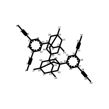 CC#Cc1cc(C#CC)cc(C23CC4(C)CC(C)(C2)CC(C25CC6(C)CC(C)(CC(c7cc(C#CC)cc(C#CC)c7)(C6)C2)C5)(C4)C3)c1